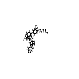 NCc1ccc(-c2ccnc3[nH]c(-c4cnn(C5CCOCC5)c4)nc23)cc1F